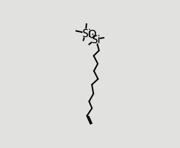 C=CCCCCCCCCC[Si](C)(C)O[Si](C)(C)C